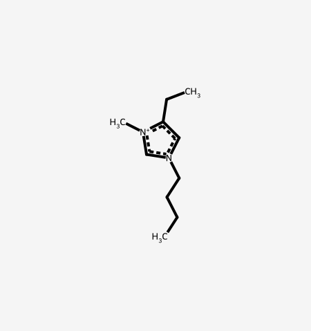 CCCCn1cc(CC)[n+](C)c1